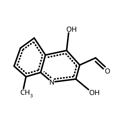 Cc1cccc2c(O)c(C=O)c(O)nc12